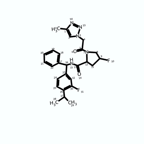 Cc1cn(CC(=O)N2CC(F)CC2C(=O)NC(c2ccccc2)c2ccc(C(C)C)c(F)c2)nn1